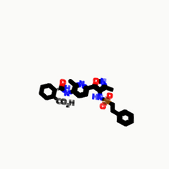 Cc1nc(-c2onc(C)c2NS(=O)(=O)CCc2ccccc2)ccc1NC(=O)[C@H]1CCCC[C@@H]1C(=O)O